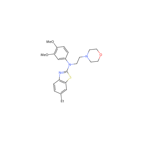 CCc1ccc2nc(N(CCN3CCOCC3)c3ccc(OC)c(OC)c3)sc2c1